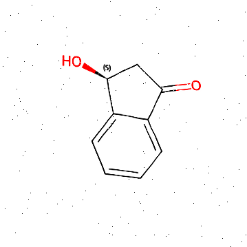 O=C1C[C@H](O)c2ccccc21